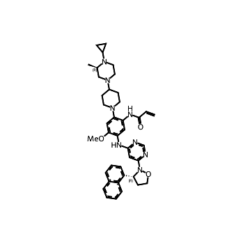 C=CC(=O)Nc1cc(Nc2cc(N3OCC[C@@H]3c3cccc4ccccc34)ncn2)c(OC)cc1N1CCC(N2CCN(C3CC3)[C@H](C)C2)CC1